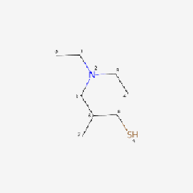 CCN(CC)CC(C)CS